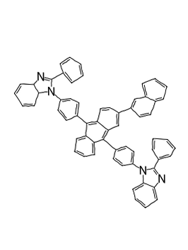 C1=CC2N=C(c3ccccc3)N(c3ccc(-c4c5ccccc5c(-c5ccc(-n6c(-c7ccccc7)nc7ccccc76)cc5)c5cc(-c6ccc7ccccc7c6)ccc45)cc3)C2C=C1